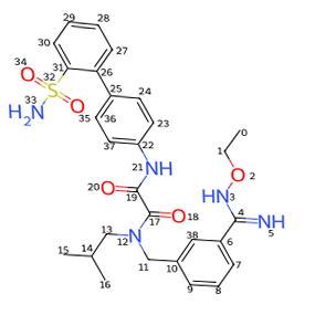 CCONC(=N)c1cccc(CN(CC(C)C)C(=O)C(=O)Nc2ccc(-c3ccccc3S(N)(=O)=O)cc2)c1